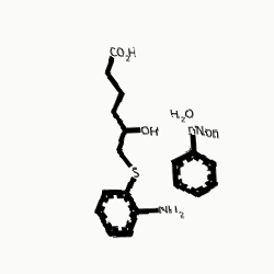 CCCCCCCCCc1ccccc1.Nc1ccccc1SCC(O)CCCC(=O)O.O